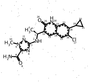 C[C@H](Nc1nc(C(N)=O)n(C)n1)c1cc2cc(Cl)c(C3CC3)cc2[nH]c1=O